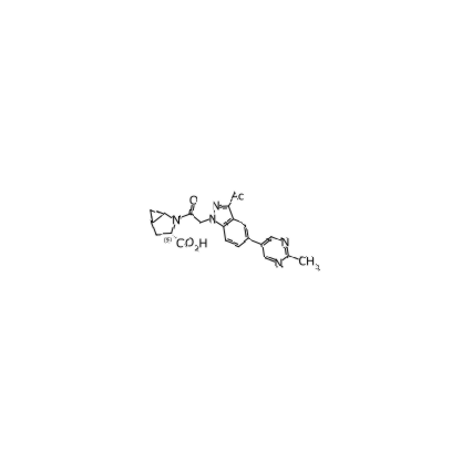 CC(=O)c1nn(CC(=O)N2C3CC3C[C@H]2C(=O)O)c2ccc(-c3cnc(C)nc3)cc12